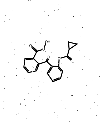 O=C(OO)c1ccccc1C(=O)c1ccccc1OC(=O)C1CC1